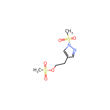 CS(=O)(=O)OCCc1cnn(S(C)(=O)=O)c1